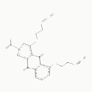 [N-]=[N+]=NCCOc1cccc2c1C(=O)c1c(OCCN=[N+]=[N-])cc(C(=O)O)cc1C2=O